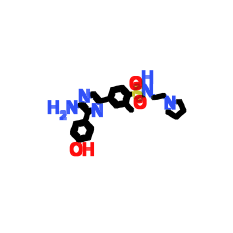 Cc1cc(-c2cnc(N)c(-c3ccc(O)cc3)n2)ccc1S(=O)(=O)NCCN1CCCC1